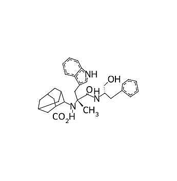 C[C@@](Cc1c[nH]c2ccccc12)(C(=O)N[C@H](CO)Cc1ccccc1)N(C(=O)O)C1C2CC3CC(C2)CC1C3